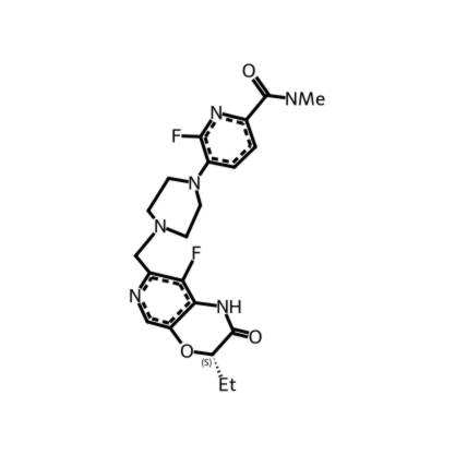 CC[C@@H]1Oc2cnc(CN3CCN(c4ccc(C(=O)NC)nc4F)CC3)c(F)c2NC1=O